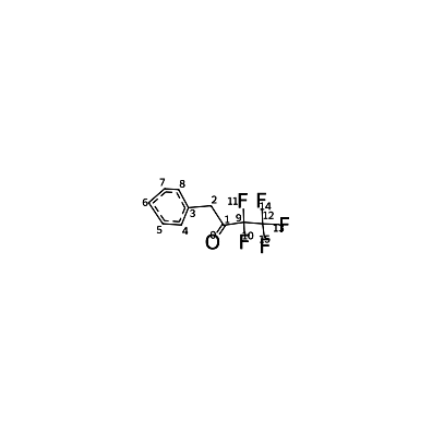 O=C(Cc1ccccc1)C(F)(F)C(F)(F)F